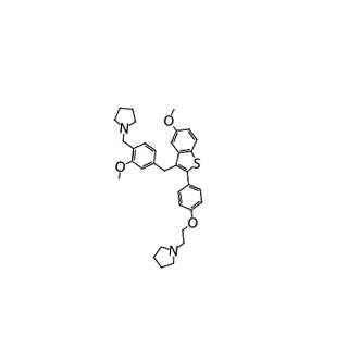 COc1ccc2sc(-c3ccc(OCCN4CCCC4)cc3)c(Cc3ccc(CN4CCCC4)c(OC)c3)c2c1